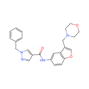 O=C(Nc1ccc2occ(CN3CCOCC3)c2c1)c1cnn(Cc2ccccc2)c1